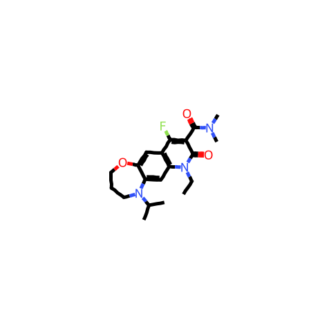 CCn1c(=O)c(C(=O)N(C)C)c(F)c2cc3c(cc21)N(C(C)C)CCCO3